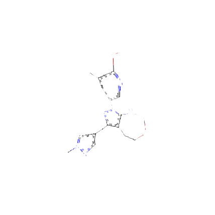 COc1ncc(-n2nc(-c3cnn(C)c3)c3c2NCOCC3)cc1C